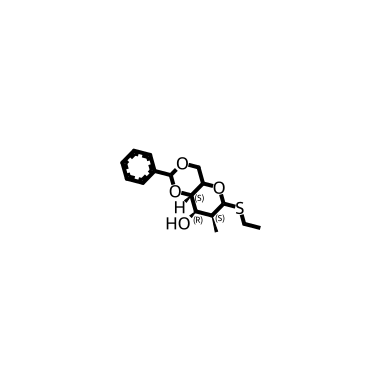 CCSC1OC2COC(c3ccccc3)O[C@H]2[C@H](O)[C@@H]1C